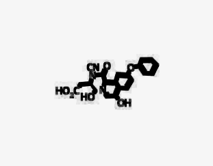 N#CN(C(=O)c1ncc(O)c2ccc(Oc3ccccc3)cc12)[C@@H](CO)CC(=O)O